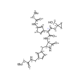 CC(C)(C)OC(=O)NCc1cnn(CC2NC(=O)C2NC(=O)/C(=N\OC2(C(=O)O)CC2)c2csc(NC(=O)OC(C)(C)C)n2)n1